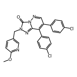 COc1ccc(Cn2nc3c(-c4ccc(Cl)cc4)c(-c4ccc(Cl)cc4)cnn3c2=O)cn1